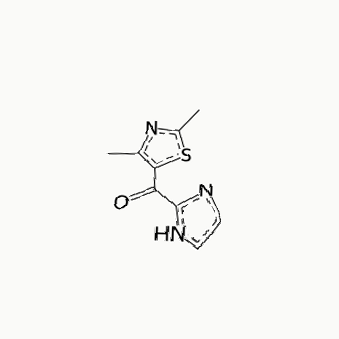 Cc1nc(C)c(C(=O)c2ncc[nH]2)s1